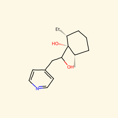 CC[C@@H]1CCC[C@H](C)[C@@]1(O)C(O)Cc1ccncc1